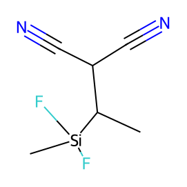 CC(C(C#N)C#N)[Si](C)(F)F